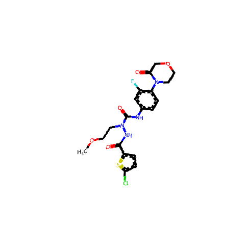 COCCN(NC(=O)c1ccc(Cl)s1)C(=O)Nc1ccc(N2CCOCC2=O)c(F)c1